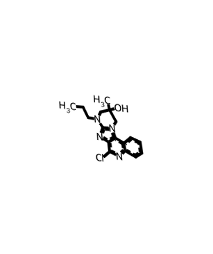 CCCN1CC(C)(O)Cn2c1nc1c(Cl)nc3ccccc3c12